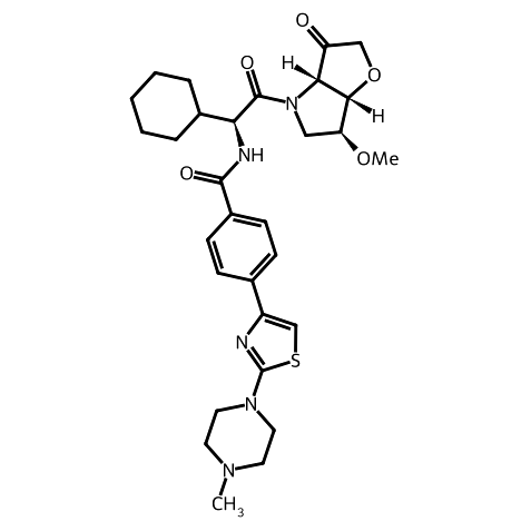 CO[C@H]1CN(C(=O)[C@@H](NC(=O)c2ccc(-c3csc(N4CCN(C)CC4)n3)cc2)C2CCCCC2)[C@@H]2C(=O)CO[C@H]12